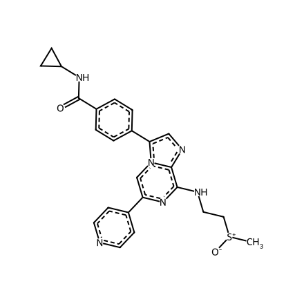 C[S+]([O-])CCNc1nc(-c2ccncc2)cn2c(-c3ccc(C(=O)NC4CC4)cc3)cnc12